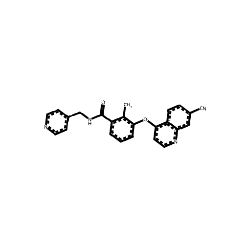 Cc1c(Oc2ccnc3cc(C#N)ccc23)cccc1C(=O)NCc1ccncc1